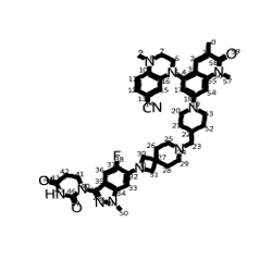 Cc1cc2c(N3CCN(C)c4ccc(C#N)cc43)cc(N3CCC(CN4CCC5(CC4)CN(c4cc6c(cc4F)c(N4CCC(=O)NC4=O)nn6C)C5)CC3)cc2n(C)c1=O